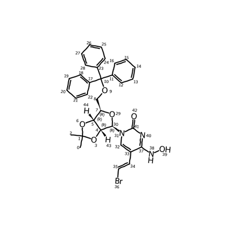 CC1(C)O[C@@H]2[C@H](O1)[C@@H](COC(c1ccccc1)(c1ccccc1)c1ccccc1)O[C@H]2n1cc(C=CBr)c(NO)nc1=O